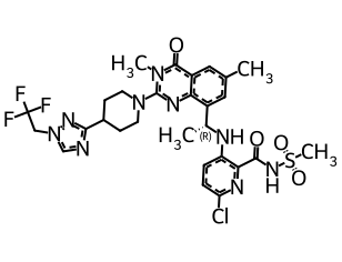 Cc1cc([C@@H](C)Nc2ccc(Cl)nc2C(=O)NS(C)(=O)=O)c2nc(N3CCC(c4ncn(CC(F)(F)F)n4)CC3)n(C)c(=O)c2c1